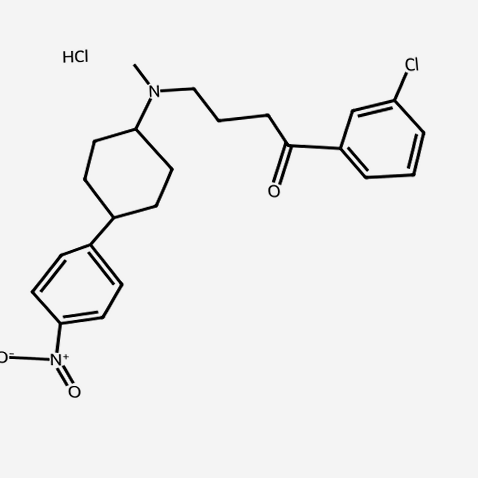 CN(CCCC(=O)c1cccc(Cl)c1)C1CCC(c2ccc([N+](=O)[O-])cc2)CC1.Cl